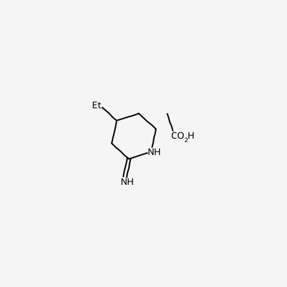 CC(=O)O.CCC1CCNC(=N)C1